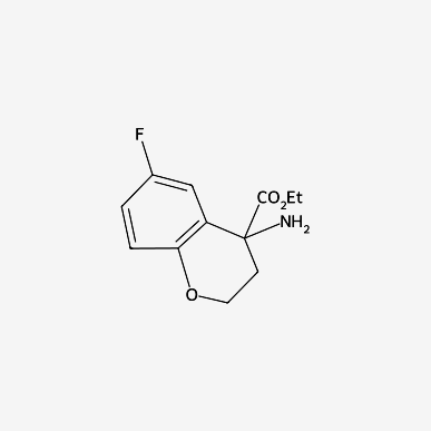 CCOC(=O)C1(N)CCOc2ccc(F)cc21